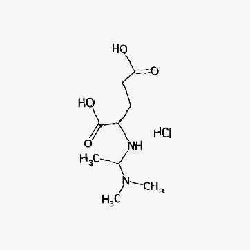 CC(NC(CCC(=O)O)C(=O)O)N(C)C.Cl